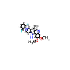 COc1cc2nc3c(c(NC4CCN(c5c(F)cccc5F)CC4)c2cc1OC)CCC3